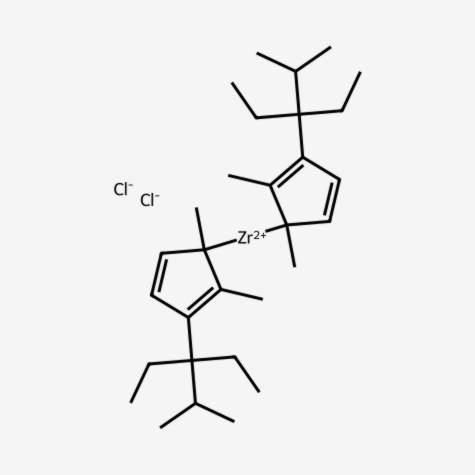 CCC(CC)(C1=C(C)[C](C)([Zr+2][C]2(C)C=CC(C(CC)(CC)C(C)C)=C2C)C=C1)C(C)C.[Cl-].[Cl-]